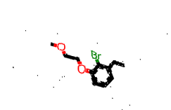 C=Cc1cccc(OCCOC)c1Br